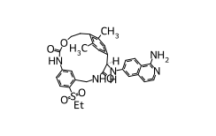 CCS(=O)(=O)c1ccc2cc1CNC(=O)[C@H](Nc1ccc3c(N)nccc3c1)c1cc(C)c(c(C)c1)CCOC(=O)N2